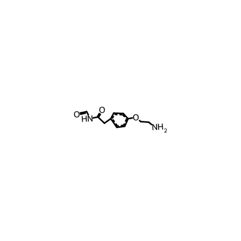 NCCOc1ccc(CC(=O)NC=O)cc1